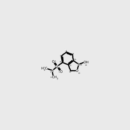 CN(C)S(=O)(=O)c1cccc2c1COB2O